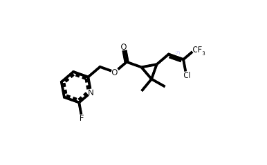 CC1(C)C(/C=C(\Cl)C(F)(F)F)C1C(=O)OCc1cccc(F)n1